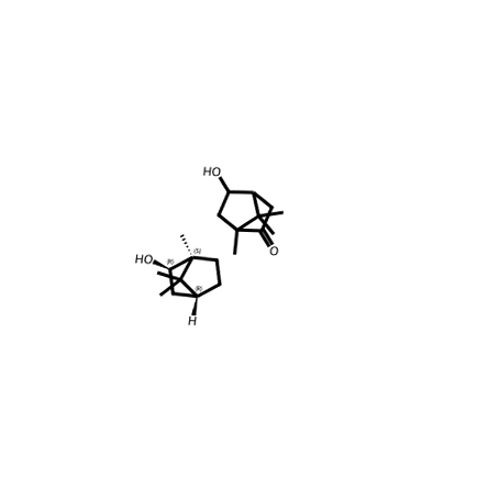 CC1(C)[C@@H]2CC[C@]1(C)[C@H](O)C2.CC12CC(O)C(CC1=O)C2(C)C